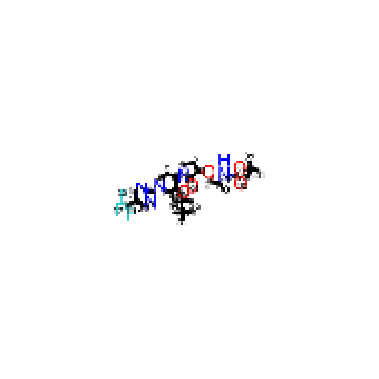 CC(CO[C@@H]1CCN([C@@H]2CCN(c3ncc(C(F)(F)F)cn3)C[C@@H]2O[Si](C)(C)C(C)(C)C)C1=O)NC(=O)OC(C)(C)C